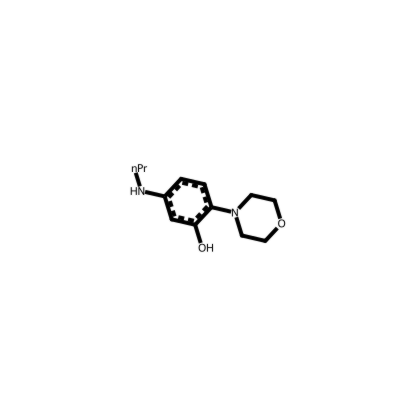 CCCNc1ccc(N2CCOCC2)c(O)c1